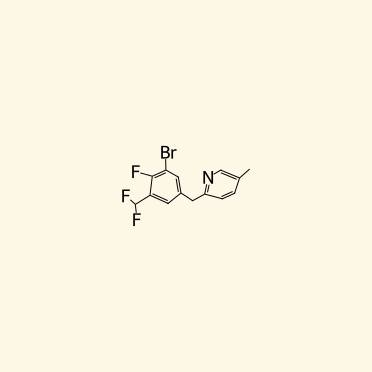 Cc1ccc(Cc2cc(Br)c(F)c(C(F)F)c2)nc1